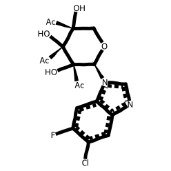 CC(=O)[C@@]1(O)[C@@](O)(C(C)=O)CO[C@@H](n2cnc3cc(Cl)c(F)cc32)[C@@]1(O)C(C)=O